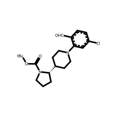 CC(C)(C)OC(=O)N1CCC[C@H]1C1CCN(c2cc(Cl)ccc2C=O)CC1